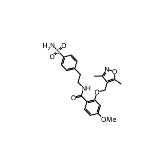 COc1ccc(C(=O)NCCc2ccc(S(N)(=O)=O)cc2)c(OCc2c(C)noc2C)c1